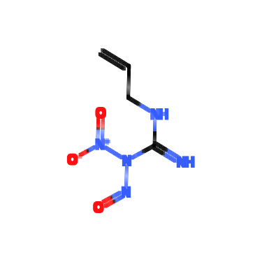 C=CCNC(=N)N(N=O)[N+](=O)[O-]